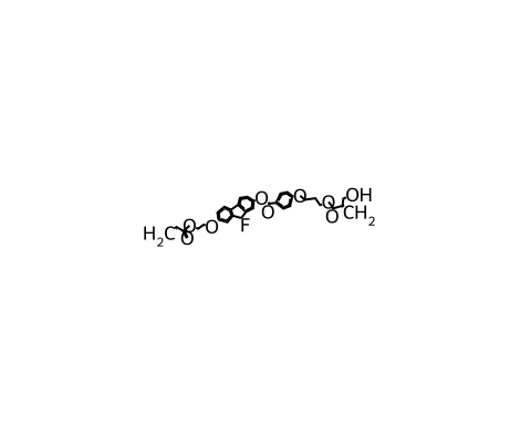 C=CC(=O)OCCOc1ccc2c(c1)C(F)c1cc(OC(=O)c3ccc(OCCCOC(=O)C(=C)CO)cc3)ccc1-2